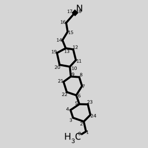 CCC1CCC(C2CCC(C3CCC(CCCC#N)CC3)CC2)CC1